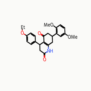 CCOc1ccc(C2CC(=O)NC3=C2C(=O)CC(c2cc(OC)ccc2OC)C3)cc1